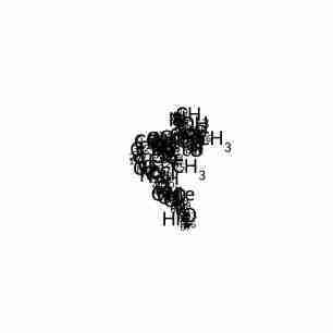 CCOC(=O)[C@@H](C)Oc1ccc(Oc2nc3ccc(Cl)cc3o2)cc1.CCc1cc(C)cc(CC)c1-c1c(OC(=O)C(C)(C)C)n2n(c1=O)CCOCC2.COc1ccccc1C(=O)NS(=O)(=O)c1ccc(C(=O)NC2CC2)cc1.Cc1c(C(=O)c2cnn(C)c2O)ccc(S(C)(=O)=O)c1C1=NOCC1